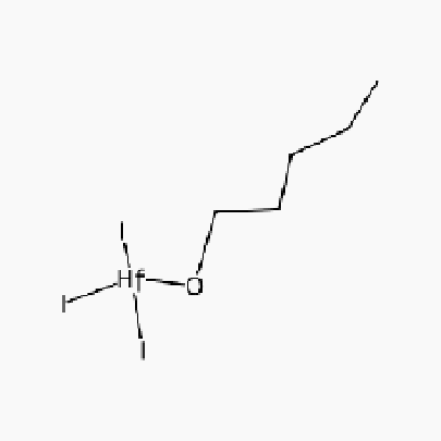 CCCCC[O][Hf]([I])([I])[I]